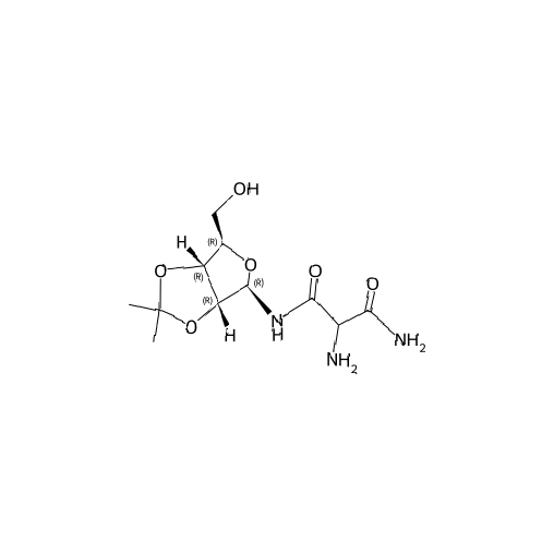 CC1(C)O[C@@H]2[C@H](O1)[C@@H](CO)O[C@H]2NC(=O)C(N)C(N)=O